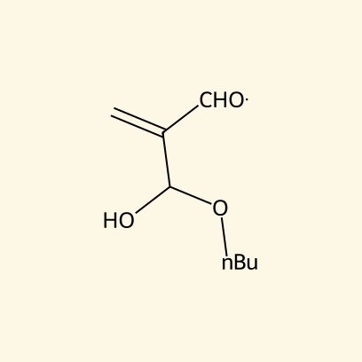 C=C([C]=O)C(O)OCCCC